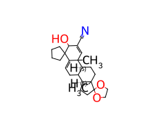 CC12C=C(C#N)C(O)C3(CCCC3)C1=CCC1[C@@H]2CCC2(C)[C@H]1CCC21OCCO1